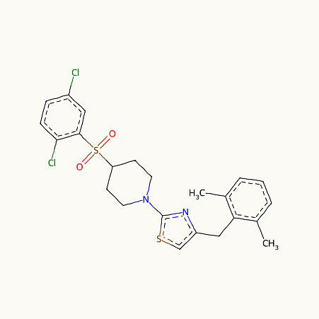 Cc1cccc(C)c1Cc1csc(N2CCC(S(=O)(=O)c3cc(Cl)ccc3Cl)CC2)n1